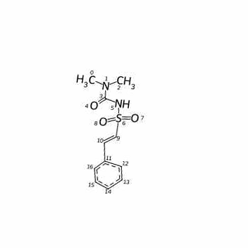 CN(C)C(=O)NS(=O)(=O)C=Cc1ccccc1